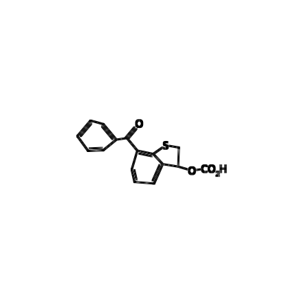 O=C(O)OC1CSc2c(C(=O)c3ccccc3)cccc21